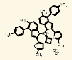 Cc1ccc(-c2c(C)ccc3c2C=C(c2ccc(C)o2)[CH]3[Zr+2](=[C]2CCC2)[CH]2C(c3ccc(C)o3)=Cc3c2ccc(C)c3-c2ccc(C)cc2)cc1.[Cl-].[Cl-]